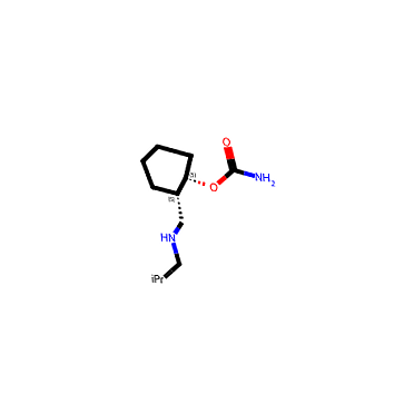 CC(C)CNC[C@@H]1CCCC[C@@H]1OC(N)=O